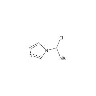 CCCCC(Cl)n1ccnc1